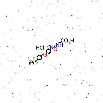 CC(C)C(F)(F)c1ccc(COc2ccc3c(c2)CCN3C(=O)CNCCC(=O)O)cc1.Cl